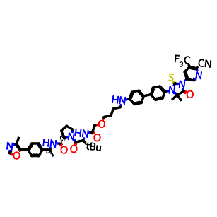 Cc1ncoc1-c1ccc([C@H](C)NC(=O)[C@@H]2CCCN2C(=O)C(NC(=O)COCCCCNc2ccc(-c3ccc(N4C(=S)N(c5cnc(C#N)c(C(F)(F)F)c5)C(=O)C4(C)C)cc3)cc2)C(C)(C)C)cc1